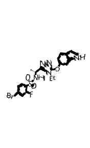 CCn1c(Oc2ccc3cc[nH]c3c2)nnc1[C@@H](C)NS(=O)(=O)c1ccc(Br)cc1F